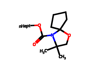 CCCCCCCOC(=O)N1C(C)(C)COC12CCCC2